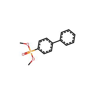 COP(=O)(OC)c1ccc(-c2ccccc2)cc1